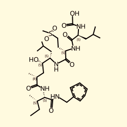 CC[C@H](C)[C@H](NC(=O)[C@H](C)C[C@H](O)[C@H](CC(C)C)NC(=O)[C@H](CCS(C)(=O)=O)NC(=O)[C@H](CC(C)C)NC(=O)O)C(=O)NCc1ccccc1